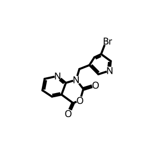 O=c1oc(=O)n(Cc2cncc(Br)c2)c2ncccc12